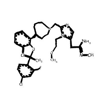 COCCn1c(C/C(N)=N/O)cnc1CN1CCC(c2cccc3c2OC(C)(c2ccc(Cl)cc2F)O3)CC1